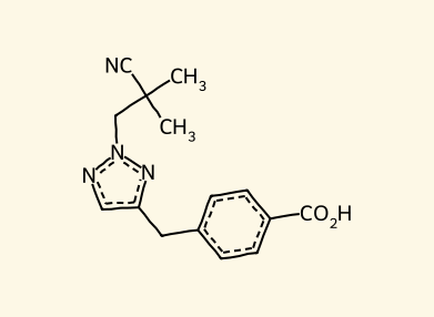 CC(C)(C#N)Cn1ncc(Cc2ccc(C(=O)O)cc2)n1